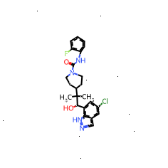 CC(C)(C1CCN(C(=O)Nc2ccccc2F)CC1)C(O)c1cc(Cl)cc2cn[nH]c12